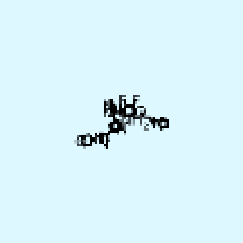 Nc1ncc(-c2cnn(C3CCOCC3)c2)cc1-c1nnnn1-c1ccc(OCCCN2CCCC2)c(F)c1F